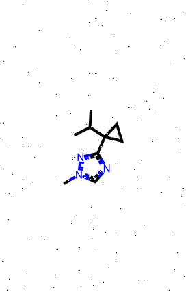 CC(C)C1(c2ncn(C)n2)CC1